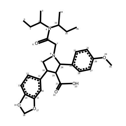 CCC(C)N(C(=O)CN1CC(c2ccc3c(c2)OCO3)C(C(=O)O)C1c1ccc(OC)cc1)C(C)CC